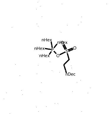 CCCCCCCCCCCCS(=O)(=O)OP(CCCCCC)(CCCCCC)(CCCCCC)CCCCCC